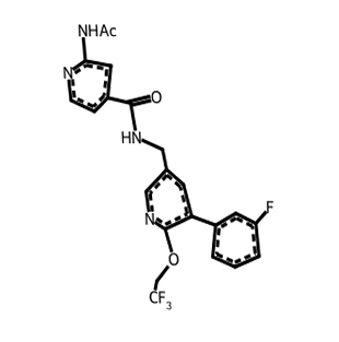 CC(=O)Nc1cc(C(=O)NCc2cnc(OCC(F)(F)F)c(-c3cccc(F)c3)c2)ccn1